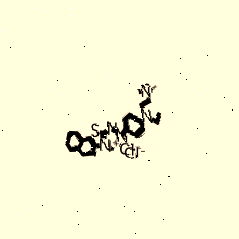 CCN(CC[N+](C)(C)C)c1ccc(/N=N/c2sc3c4ccccc4ccc3[n+]2C)cc1.[Cl-].[Cl-]